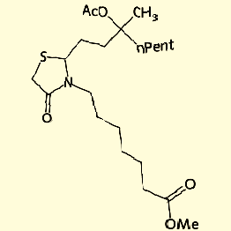 CCCCCC(C)(CCC1SCC(=O)N1CCCCCCC(=O)OC)OC(C)=O